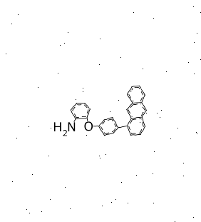 Nc1ccccc1Oc1ccc(-c2cccc3cc4ccccc4cc23)cc1